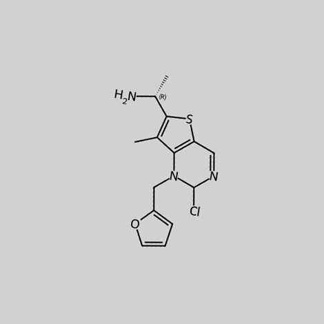 Cc1c([C@@H](C)N)sc2c1N(Cc1ccco1)C(Cl)N=C2